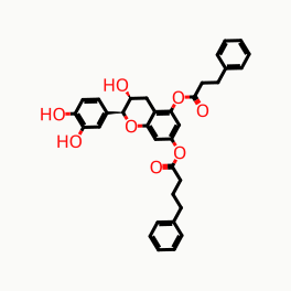 O=C(CCCc1ccccc1)Oc1cc(OC(=O)CCc2ccccc2)c2c(c1)O[C@@H](c1ccc(O)c(O)c1)[C@@H](O)C2